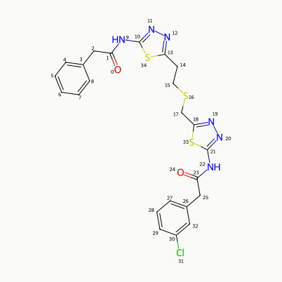 O=C(Cc1ccccc1)Nc1nnc(CCSCc2nnc(NC(=O)Cc3cccc(Cl)c3)s2)s1